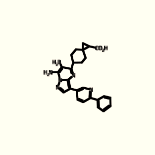 Bc1c(C2CCC3(CC2)CC3C(=O)O)nc2c(-c3ccc(-c4ccccc4)nc3)cnn2c1N